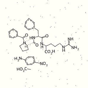 CC(=O)O.N=C(N)NCCCC(NC(=O)C(Cc1ccccc1)NC(=O)[C@@H]1CCCN1C(=O)c1ccccc1)C(=O)O.Nc1ccc([N+](=O)[O-])cc1